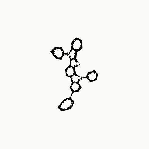 c1ccc(-c2ccc3c(c2)c2ccc4c(sc5c6ccccc6n(-c6ccccc6)c45)c2n3-c2ccccc2)cc1